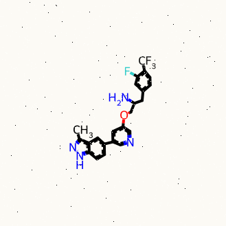 Cc1n[nH]c2ccc(-c3cncc(OCC(N)Cc4ccc(C(F)(F)F)c(F)c4)c3)cc12